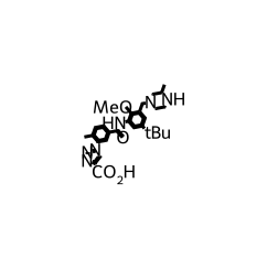 COc1c(CN2CCNC(C)C2)cc(C(C)(C)C)cc1NC(=O)c1ccc(C)c(-n2cc(C(=O)O)nn2)c1